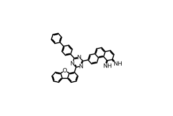 N=C1C=Cc2ccc3cc(-c4nc(-c5ccc(-c6ccccc6)cc5)nc(-c5cccc6c5oc5ccccc56)n4)ccc3c2C1=N